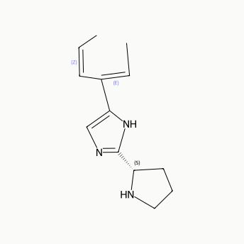 C/C=C\C(=C/C)c1cnc([C@@H]2CCCN2)[nH]1